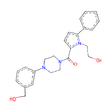 O=C(c1ccc(-c2ccccc2)n1CCO)N1CCN(c2cccc(CO)c2)CC1